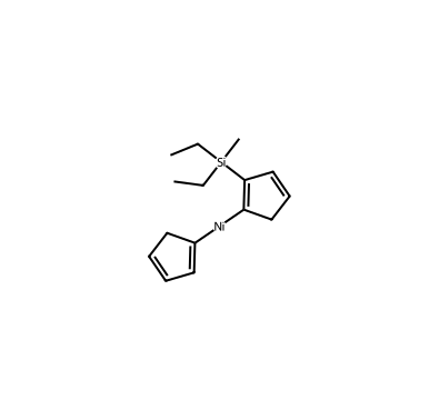 CC[Si](C)(CC)C1=[C]([Ni][C]2=CC=CC2)CC=C1